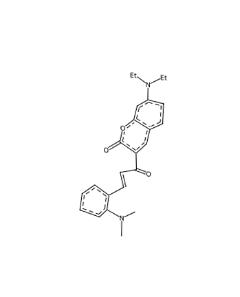 CCN(CC)c1ccc2cc(C(=O)/C=C/c3ccccc3N(C)C)c(=O)oc2c1